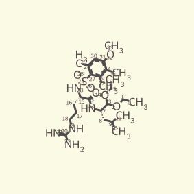 CCOC(OCC)[C@H](CC(C)C)NC(=O)[C@H](CCCNC(=N)N)NS(=O)(=O)c1c(C)cc(OC)c(C)c1C